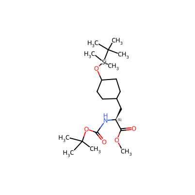 COC(=O)[C@H](CC1CCC(O[Si](C)(C)C(C)(C)C)CC1)NC(=O)OC(C)(C)C